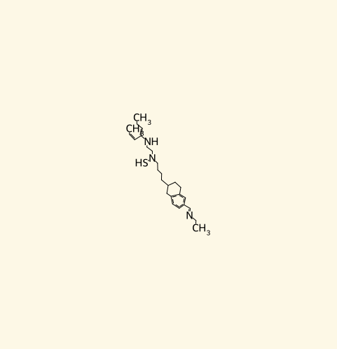 C/C=C\C(=C/CC)NCCN(S)CCCCC1CCc2cc(/C=N/CC)ccc2C1